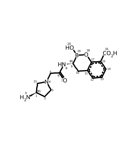 N[C@@H]1CCN(CC(=O)N[C@H]2Cc3cccc(C(=O)O)c3OB2O)C1